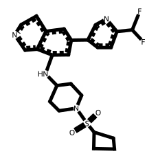 O=S(=O)(C1CCC1)N1CCC(Nc2cc(-c3ccc(C(F)F)nc3)cc3ccncc23)CC1